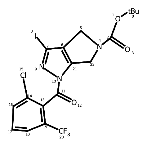 CC(C)(C)OC(=O)N1Cc2c(I)nn(C(=O)c3c(Cl)cccc3C(F)(F)F)c2C1